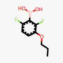 CCCOc1ccc(F)c(B(O)O)c1F